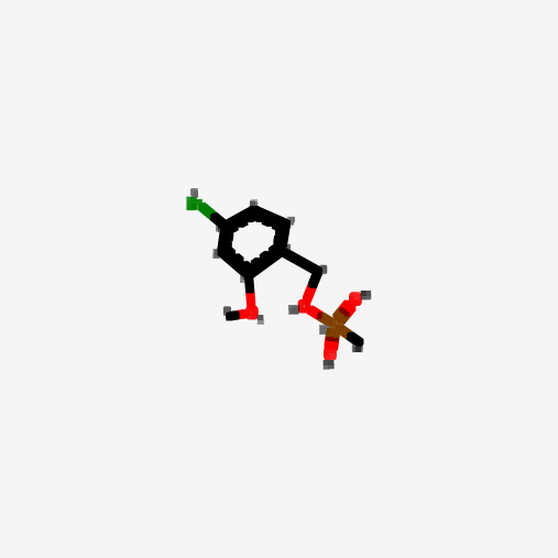 COc1cc(Br)ccc1COS(C)(=O)=O